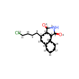 O=C1NC(=O)c2c1c(CCCCCl)cc1ccccc21